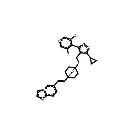 Clc1cncc(Cl)c1-c1noc(C2CC2)c1COC12CCC(/C=C/c3ccc4nccn4c3)(CC1)CC2